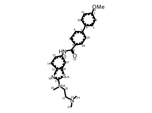 COc1ccc(-c2ccc(C(=O)Nc3ccc4nc(N(C)CCN(C)C)sc4c3)cc2)cc1